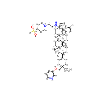 C=C(C)[C@@H]1CC[C@]2(NCCN3CCC(S(C)(=O)=O)CC3)CC[C@]3(C)[C@H](CC[C@@H]4[C@@]5(C)CC=C(C6=CCC(COc7cccnc7)(C(=O)O)CC6)C(C)(C)[C@@H]5CC[C@]43C)[C@@H]12